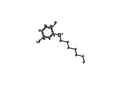 CCCCCCCOc1cc(I)ccc1C